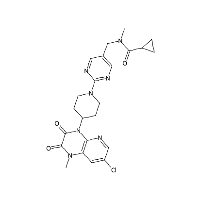 CN(Cc1cnc(N2CCC(n3c(=O)c(=O)n(C)c4cc(Cl)cnc43)CC2)nc1)C(=O)C1CC1